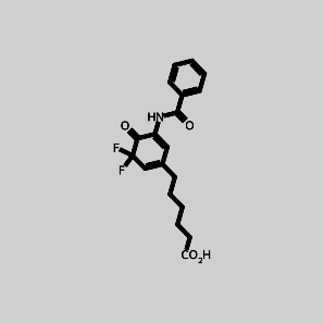 O=C(O)CCCCCC1=CC(F)(F)C(=O)C(NC(=O)c2ccccc2)=C1